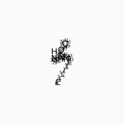 CCCCCCCCCCCc1ccc(C=C2N=C(c3ccc[nH]3)C=C2OCc2ccccc2)[nH]1